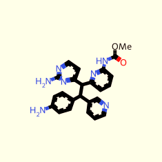 COC(=O)Nc1cccc(C(c2ccnc(N)n2)C(c2ccc(N)cc2)c2cccnc2)n1